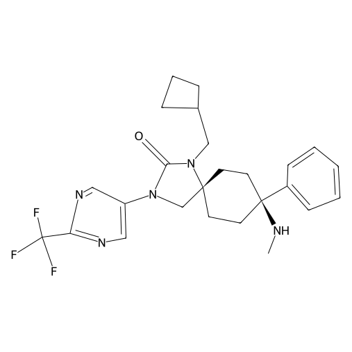 CN[C@]1(c2ccccc2)CC[C@@]2(CC1)CN(c1cnc(C(F)(F)F)nc1)C(=O)N2CC1CCC1